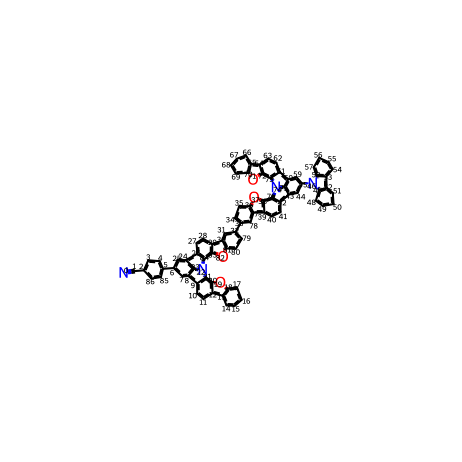 N#Cc1ccc(-c2cc3c4ccc5c6ccccc6oc5c4n4c3c(c2)c2ccc3c5cc(-c6ccc7oc8c(ccc9c%10cc(-n%11c%12ccccc%12c%12ccccc%12%11)cc%11c%12ccc%13c%14ccccc%14oc%13c%12n(c%11%10)c98)c7c6)ccc5oc3c24)cc1